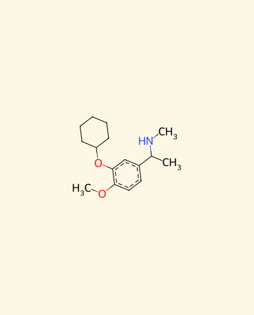 CNC(C)c1ccc(OC)c(OC2CCCCC2)c1